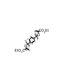 C=C(OC(C)(C)c1ccc(C(C)(C)OC(=C)C(=O)OCC)cc1)C(=O)OCC